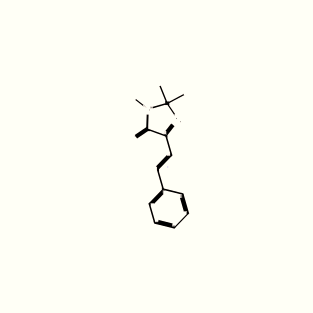 CCN1C(=O)C(/C=C/c2ccccc2)=NC1(C)C